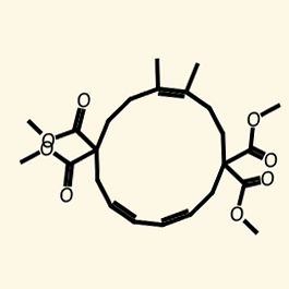 COC(=O)C1(C(=O)OC)CC=CC=CCC(C(=O)OC)(C(=O)OC)CCC(C)=C(C)CC1